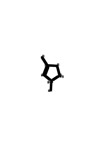 CC1=CN(C)[N]C1